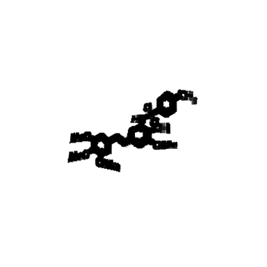 COc1cc(C=Cc2cc(OC)c(OC)c(OC)c2)cc(NS(=O)(=O)c2ccc(C)cc2)c1O